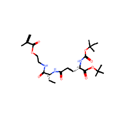 C=C(C)C(=O)OCCNC(=O)[C@@H](CC)NC(=O)CC[C@H](NC(=O)OC(C)(C)C)C(=O)OC(C)(C)C